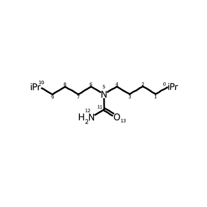 CC(C)CCCCN(CCCCC(C)C)C(N)=O